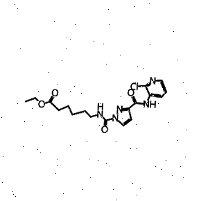 CCOC(=O)CCCCCNC(=O)n1ccc(C(=O)Nc2cccnc2Cl)n1